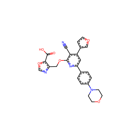 N#Cc1c(-c2ccoc2)cc(-c2ccc(N3CCOCC3)cc2)nc1OCc1ncoc1C(=O)O